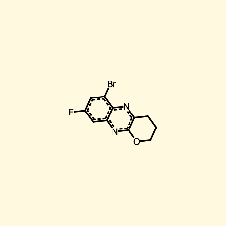 Fc1cc(Br)c2nc3c(nc2c1)OCCC3